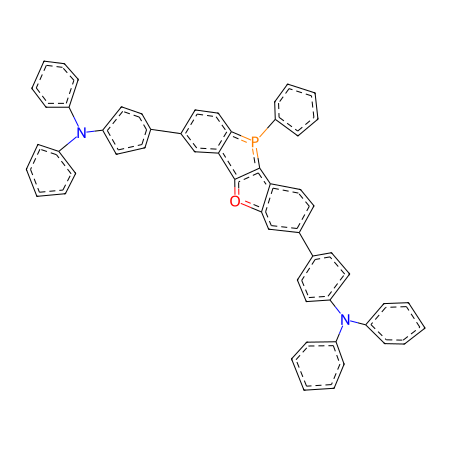 c1ccc(N(c2ccccc2)c2ccc(-c3ccc4c(c3)oc3c5cc(-c6ccc(N(c7ccccc7)c7ccccc7)cc6)ccc5p(-c5ccccc5)c43)cc2)cc1